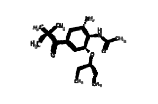 CCC(CC)O[C@@H]1C=C(C(=O)C(C)(C)C)C[C@H](N)[C@H]1NC(C)=O